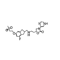 CS(=O)(=O)CCOc1cc(F)c2c(c1)CC(CNCCC1CN(C3=CNCC=N3)C(=O)O1)C2